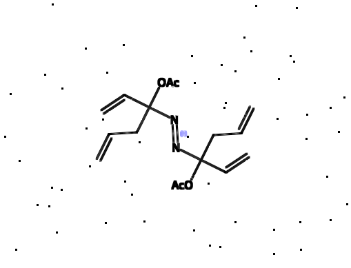 C=CCC(C=C)(/N=N/C(C=C)(CC=C)OC(C)=O)OC(C)=O